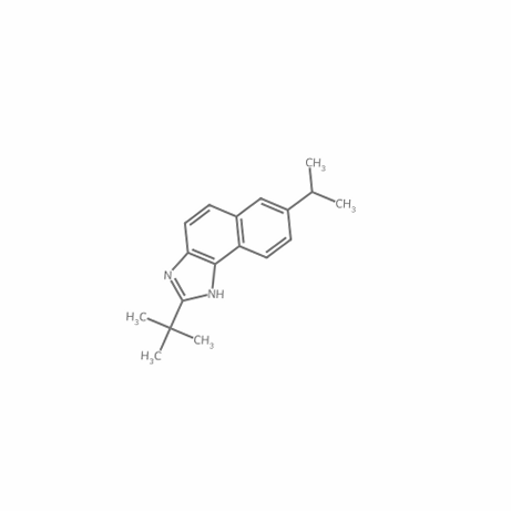 CC(C)c1ccc2c(ccc3nc(C(C)(C)C)[nH]c32)c1